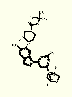 Cc1nc(N2C[C@H]3C[C@@H]2CO3)cc(-n2ncc3cc(C)c([C@H]4CCN(C(=O)OC(C)(C)C)C[C@H]4F)cc32)n1